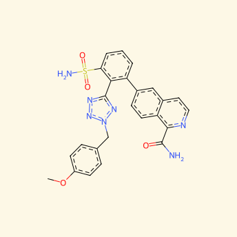 COc1ccc(Cn2nnc(-c3c(-c4ccc5c(C(N)=O)nccc5c4)cccc3S(N)(=O)=O)n2)cc1